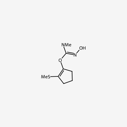 CNC(=NO)OC1=C(SC)CCC1